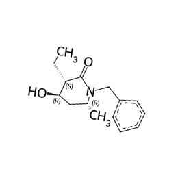 CC[C@@H]1C(=O)N(Cc2ccccc2)[C@H](C)C[C@H]1O